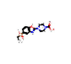 CCS(=O)(=O)c1ccc2oc(N3CCN(C(=O)O)CC3)nc2c1